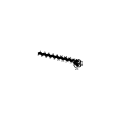 CCCCCCCCCCCCCCCCCC[N+](C)(C)[Si](OC)(OC)OC